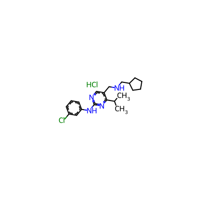 CC(C)c1nc(Nc2cccc(Cl)c2)ncc1CNCC1CCCC1.Cl